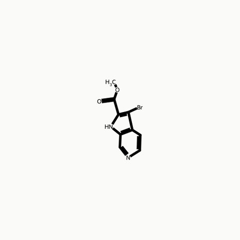 COC(=O)c1[nH]c2cnccc2c1Br